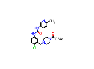 COC(=O)N1CCN(Cc2cc(NC(=O)Nc3ccc(C)nc3)ccc2Cl)CC1